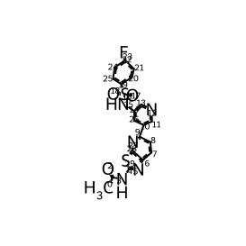 CC(=O)Nc1nc2ccc(-c3cncc(NS(=O)(=O)c4ccc(F)cc4)c3)nc2s1